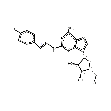 Nc1nc(N/N=C/c2ccc(F)cc2)nc2c1ncn2[C@@H]1O[C@H](CO)[C@@H](O)[C@H]1O